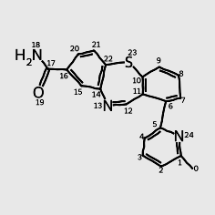 Cc1cccc(-c2cccc3c2C=Nc2cc(C(N)=O)ccc2S3)n1